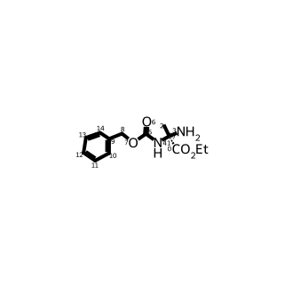 CCOC(=O)[C@](C)(N)NC(=O)OCc1ccccc1